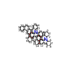 c1ccc(-n2c3ccccc3c3cccc(-c4cccc(N(c5ccccc5-c5cccc6c5ccc5ccccc56)c5ccccc5-c5cccc6cccc(C7CCCCC7)c56)c4)c32)cc1